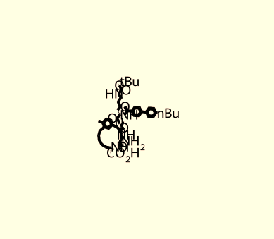 CCCCc1ccc(-c2ccc(C(=O)N[C@@H](CCCCNC(=O)OC(C)(C)C)C(=O)N(C)[C@@H]3C(=O)N[C@@H](N)C(=O)N[C@H](C(=O)O)CCCCCc4cc3ccc4C)cc2)cc1